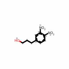 O=[N+]([O-])c1ccc(CCCO)cc1[N+](=O)[O-]